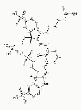 CC1(CCCS(=O)(=O)O)C(/C=C/C2=C(Cl)C(=C/C=C3/Nc4ccc(S(=O)(=O)O)cc4C3(C)CCCS(=O)(=O)O)/CCC2)=[N+](CCCCCC(=O)O)c2ccc(S(=O)(=O)O)cc21